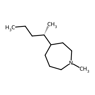 CCC[C@H](C)C1CCCN(C)CC1